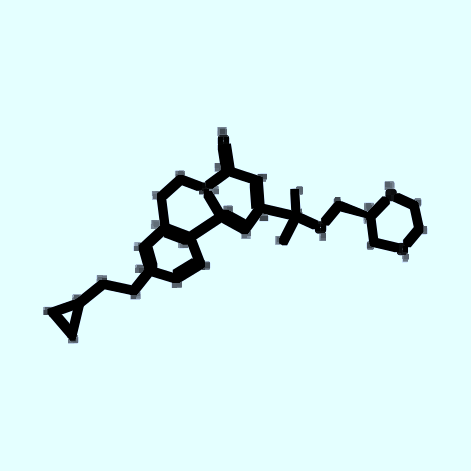 CC(C)(OC[C@@H]1COCCO1)c1cc2n(c(=O)c1)CCc1cc(CCC3CC3)ccc1-2